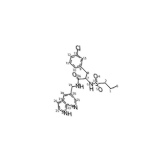 CCCS(=O)(=O)NC(Cc1cccc(Cl)c1)C(=O)NCc1cnc2[nH]ccc2c1